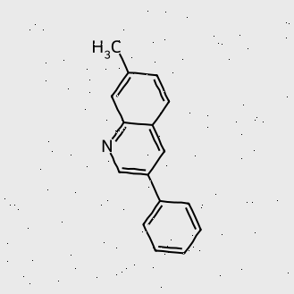 Cc1ccc2cc(-c3ccccc3)cnc2c1